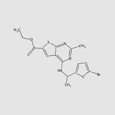 CCOC(=S)c1cc2c(NC(C)c3ccc(Br)s3)nc(C)nc2s1